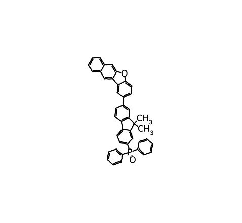 CC1(C)c2cc(-c3ccc4oc5cc6ccccc6cc5c4c3)ccc2-c2ccc(P(=O)(c3ccccc3)c3ccccc3)cc21